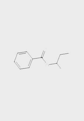 CC(CI)NC(=O)c1ccccc1